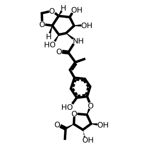 CC(=O)[C@H]1O[C@@H](Oc2ccc(/C=C(\C)C(=O)N[C@H]3[C@@H](O)[C@@H]4OCO[C@@H]4C(O)[C@H]3O)cc2O)[C@@H](O)[C@@H]1O